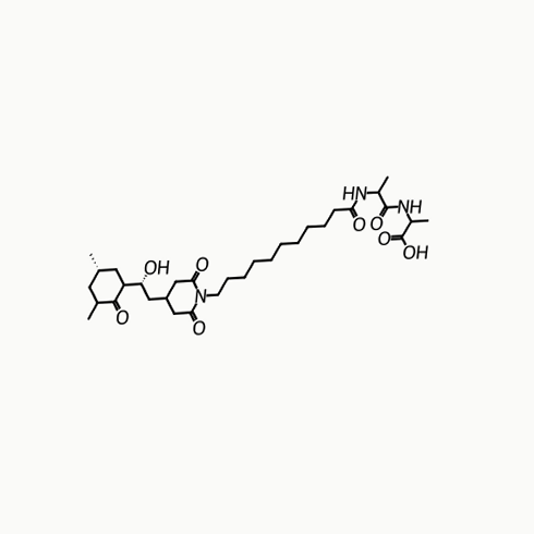 CC1C[C@H](C)CC([C@H](O)CC2CC(=O)N(CCCCCCCCCCC(=O)NC(C)C(=O)NC(C)C(=O)O)C(=O)C2)C1=O